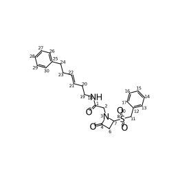 O=C(CN1C(=O)CC1S(=O)(=O)Cc1ccccc1)NCCC=CCCc1ccccc1